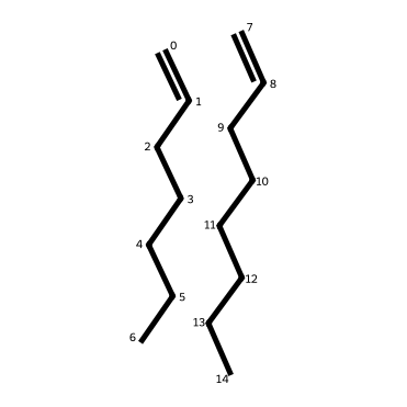 C=CCCCCC.C=CCCCCCC